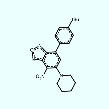 CC(C)(C)c1ccc(-c2cc(N3CCCCC3)c([N+](=O)[O-])c3nonc23)cc1